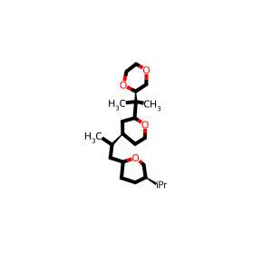 CC(C)[C@H]1CCC(CC(C)[C@@H]2CCOC(C(C)(C)[C@@H]3COCCO3)C2)OC1